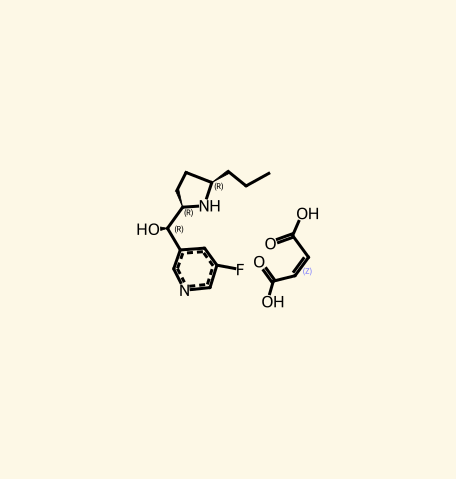 CCC[C@@H]1CC[C@H]([C@H](O)c2cncc(F)c2)N1.O=C(O)/C=C\C(=O)O